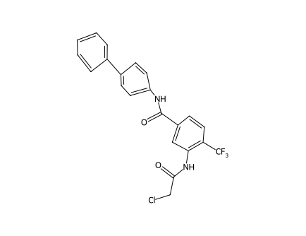 O=C(CCl)Nc1cc(C(=O)Nc2ccc(-c3ccccc3)cc2)ccc1C(F)(F)F